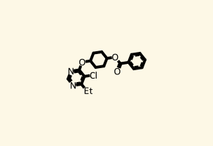 CCc1ncnc(OC2CCC(OC(=O)c3ccccc3)CC2)c1Cl